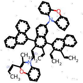 C=Cc1c(-c2c(C=C)c(/C=C/N3C(C)=C(/C=C\C)Oc4ccccc43)c(-c3cc4ccccc4c4ccccc34)c3ccc(N4c5ccccc5Oc5ccccc54)cc23)cc2ccccc2c1C=C